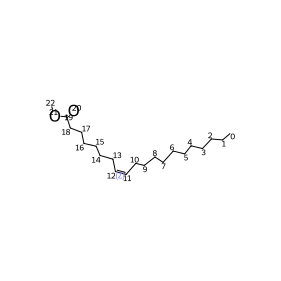 CCCCCCCCCCC/C=C\CCCCCCC(=O)OC